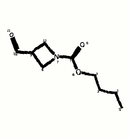 CCCCOC(=O)N1CC(C=O)C1